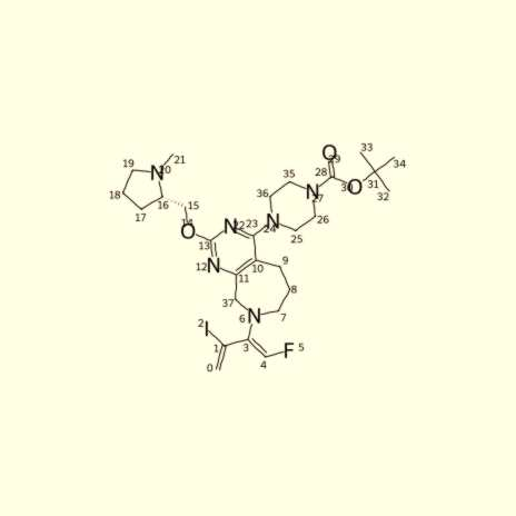 C=C(I)/C(=C/F)N1CCCc2c(nc(OC[C@@H]3CCCN3C)nc2N2CCN(C(=O)OC(C)(C)C)CC2)C1